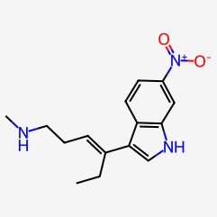 CCC(=CCCNC)c1c[nH]c2cc([N+](=O)[O-])ccc12